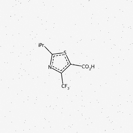 CC(C)c1nc(C(F)(F)F)c(C(=O)O)s1